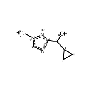 Cn1cnc(C(O)C2CC2)n1